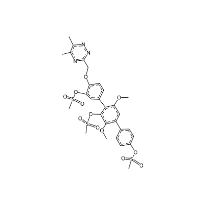 COc1cc(-c2ccc(OS(C)(=O)=O)cc2)c(OC)c(OS(C)(=O)=O)c1-c1ccc(OCc2nnc(C)c(C)n2)c(OS(C)(=O)=O)c1